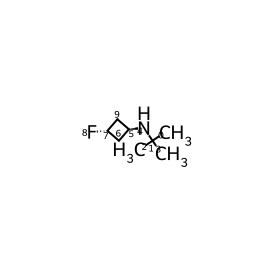 CC(C)(C)N[C@H]1C[C@H](F)C1